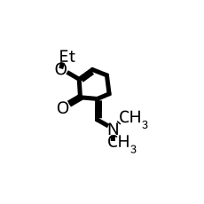 CCOC1=CCC/C(=C\N(C)C)C1=O